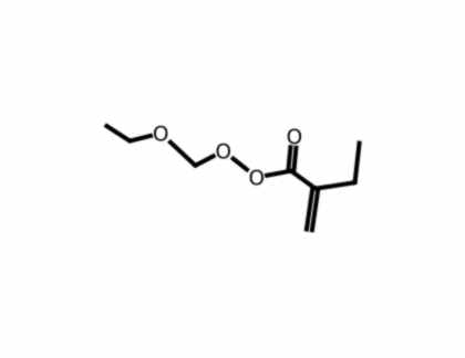 C=C(CC)C(=O)OOCOCC